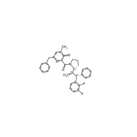 Cc1cn(Cc2ccccc2)nc(C(=O)N2CCC[C@@H]2[C@H](C)[C@H](c2ccccc2)c2cccc(F)c2F)c1=O